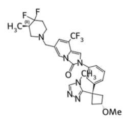 CO[C@H]1C[C@@](c2cccc(-n3cc4c(C(F)(F)F)cc(CN5CCC(F)(F)[C@H](C)C5)cn4c3=O)c2)(c2nncn2C)C1